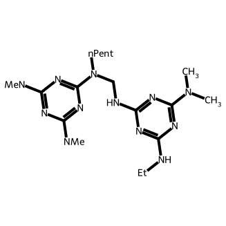 CCCCCN(CNc1nc(NCC)nc(N(C)C)n1)c1nc(NC)nc(NC)n1